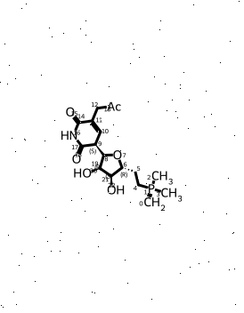 C=P(C)(C)CC[C@H]1OC([C@@H]2C=C(CC(C)=O)C(=O)NC2=O)[C@H](O)[C@@H]1O